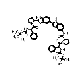 CC(C)(C)OC(=O)N[C@@H](C(=O)N1CCCC1c1nc2cc(-c3cc4cc(NC(=O)[C@@H]5CCCN5C(=O)[C@H](NC(=O)OC(C)(C)C)c5ccccc5)ccc4[nH]3)ccc2[nH]1)c1ccccc1